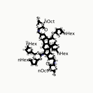 CCCCCCCCN1C(=O)/C(=C\c2cc3c(s2)-c2cc4c(cc2C3=C(Sc2ccc(CCCCCC)s2)Sc2ccc(CCCCCC)s2)-c2sc(/C=C3/SC(=S)N(CCCCCCCC)C3=O)cc2/C4=C(/SCc2ccc(CCCCCC)s2)Sc2ccc(CCCCCC)s2)SC1=S